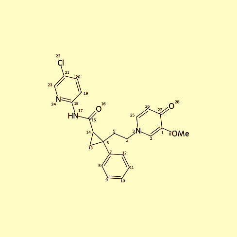 COc1cn(CCC2(c3ccccc3)CC2C(=O)Nc2ccc(Cl)cn2)ccc1=O